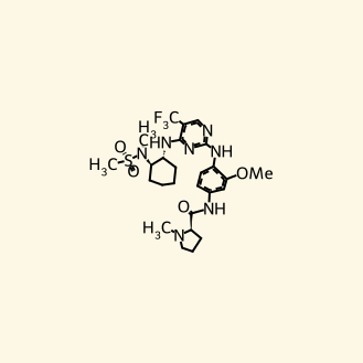 COc1cc(NC(=O)[C@H]2CCCN2C)ccc1Nc1ncc(C(F)(F)F)c(N[C@@H]2CCCC[C@H]2N(C)S(C)(=O)=O)n1